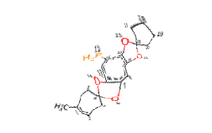 CC1=CCC2(C1)Oc1cc3c(c(P)c1O2)OC1(CCCC1)O3